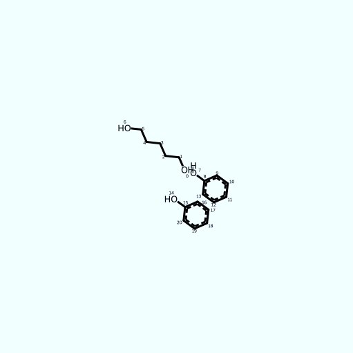 OCCCCCO.Oc1ccccc1.Oc1ccccc1